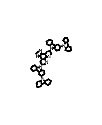 c1ccc2c(c1)c1ccccc1n2-c1ccc2c(c1)c1ccccc1n2-c1cnc2c(c1)c1nccnc1c1cc(-n3c4ccccc4c4cc(-n5c6ccccc6c6ccccc65)ccc43)cnc12